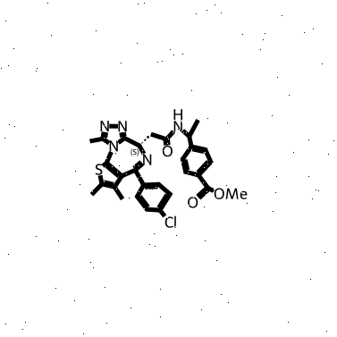 COC(=O)c1ccc(C(C)NC(=O)C[C@@H]2N=C(c3ccc(Cl)cc3)c3c(sc(C)c3C)-n3c(C)nnc32)cc1